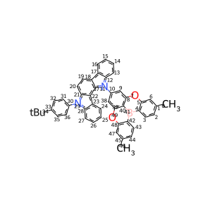 Cc1ccc2c(c1)Oc1cc(-n3c4ccccc4c4ccc5c(c6ccccc6n5-c5ccc(C(C)(C)C)cc5)c43)cc3c1B2c1ccc(C)cc1O3